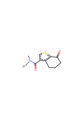 CCN(C)C(=O)c1csc2c1CCCC2=O